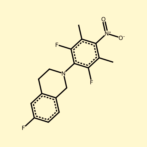 Cc1c(F)c(N2CCc3cc(F)ccc3C2)c(F)c(C)c1[N+](=O)[O-]